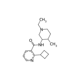 CCN1CCC(C)C(NC(=O)c2cccnc2C2CCC2)C1